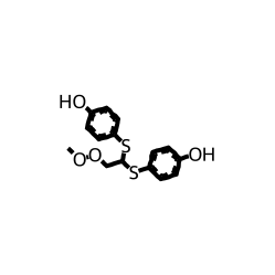 COOCC(Sc1ccc(O)cc1)Sc1ccc(O)cc1